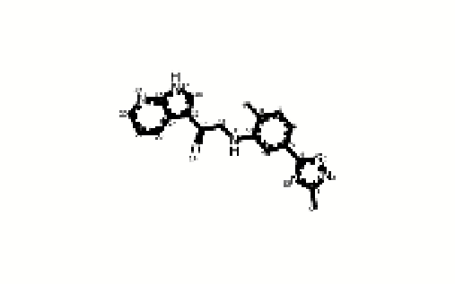 Cc1nsc(-c2ccc(C)c(NCC(=O)c3c[nH]c4ncccc34)c2)n1